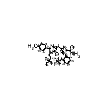 Cc1ccc(-c2nn(Cc3nc(C(N)=O)n(-c4ccccc4OC(F)(F)F)n3)c(=O)n2CCC(F)(F)F)cc1